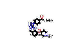 CNC(=O)c1ccc(Nc2ncc3cccc(OC4CCN(C(C)C)CC4)c3n2)cc1